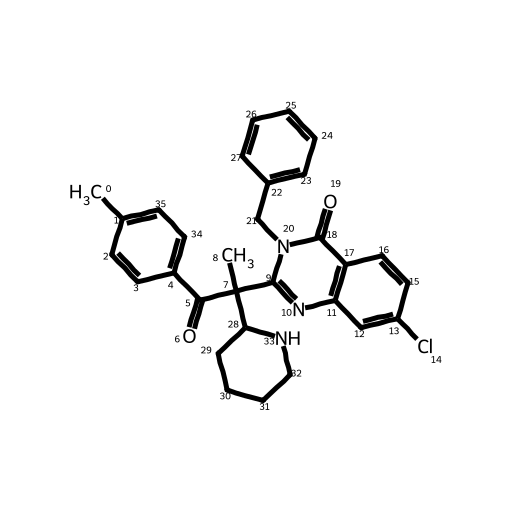 Cc1ccc(C(=O)C(C)(c2nc3cc(Cl)ccc3c(=O)n2Cc2ccccc2)C2CCCCN2)cc1